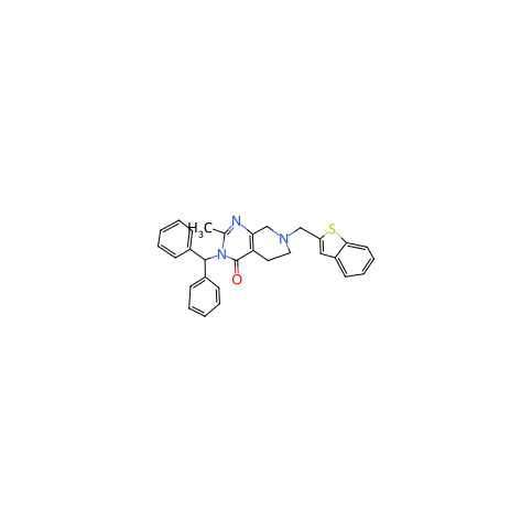 Cc1nc2c(c(=O)n1C(c1ccccc1)c1ccccc1)CCN(Cc1cc3ccccc3s1)C2